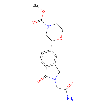 CC(C)(C)OC(=O)N1CCO[C@H](c2ccc3c(c2)CN(CC(N)=O)C3=O)C1